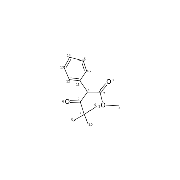 COC(=O)C(C(=O)C(C)(C)C)c1ccccc1